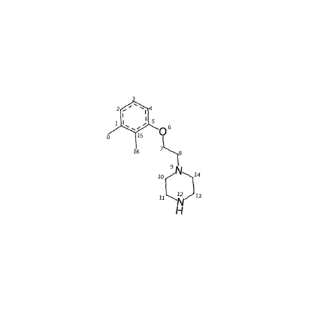 Cc1cccc(OCCN2CCNCC2)c1C